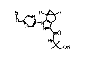 CCOc1cnc(-n2nc(C(=O)NC(C)(C)CO)c3c2[C@@H]2C[C@@H]2C3)cn1